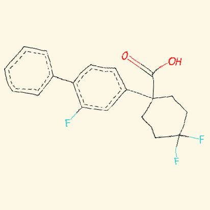 O=C(O)C1(c2ccc(-c3ccccc3)c(F)c2)CCC(F)(F)CC1